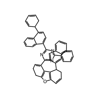 C1=CCC(c2ccc(-c3nc(C4=CCCc5oc6c(c54)C(c4ccc5ccccc5c4)CC=C6)nc(-c4ccccc4)n3)c3ccccc23)C=C1